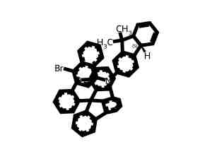 CC1(C)c2cc(N(c3cccc4c3C3(c5ccccc5Oc5ccccc53)c3ccccc3-4)c3ccc(Br)c4ccccc34)ccc2[C@H]2C=CC=CC21